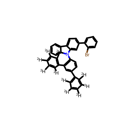 [2H]c1c([2H])c([2H])c(-c2ccc(-n3c4ccccc4c4ccc(-c5ccccc5Br)cc43)c(-c3c([2H])c([2H])c([2H])c([2H])c3[2H])c2)c([2H])c1[2H]